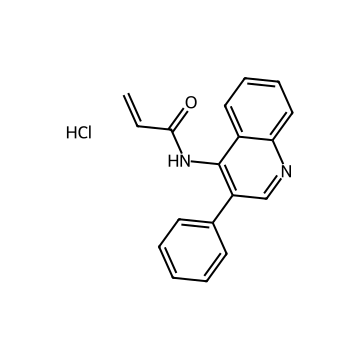 C=CC(=O)Nc1c(-c2ccccc2)cnc2ccccc12.Cl